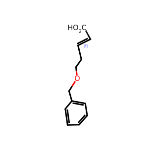 O=C(O)/C=C/CCOCc1ccccc1